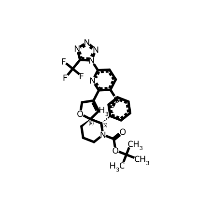 COc1ccc(-n2nnnc2C(F)(F)F)nc1C1=C[C@@]2(CCCN(C(=O)OC(C)(C)C)[C@H]2c2ccccc2)OC1